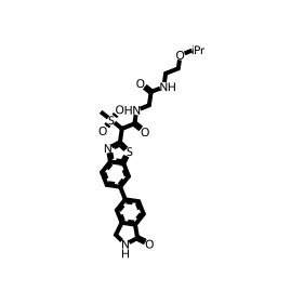 CC(C)OCCNC(=O)CNC(=O)C(c1nc2ccc(-c3ccc4c(c3)CNC4=O)cc2s1)S(C)(=O)=O